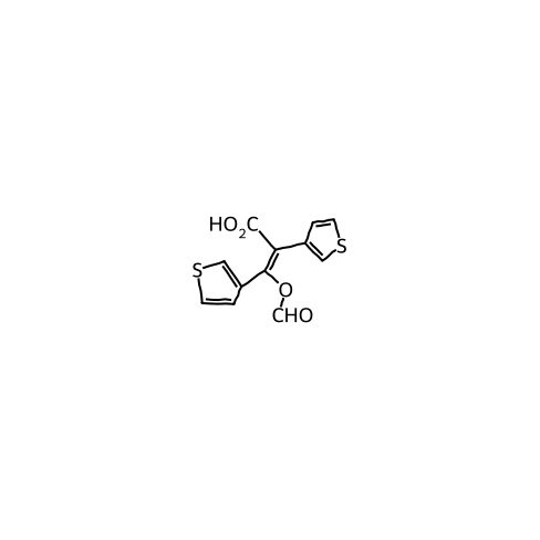 O=CO/C(=C(/C(=O)O)c1ccsc1)c1ccsc1